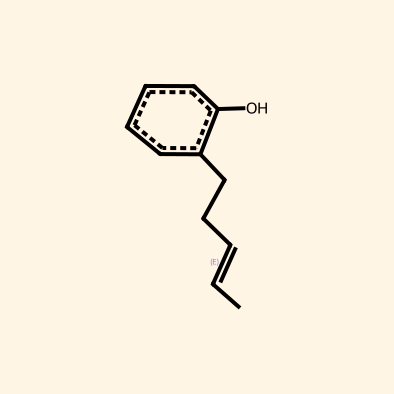 C/C=C/CCc1ccccc1O